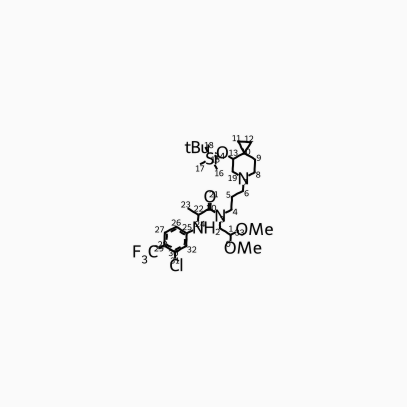 COC(CN(CCCN1CCC2(CC2)C(O[Si](C)(C)C(C)(C)C)C1)C(=O)C(C)Nc1ccc(C(F)(F)F)c(Cl)c1)OC